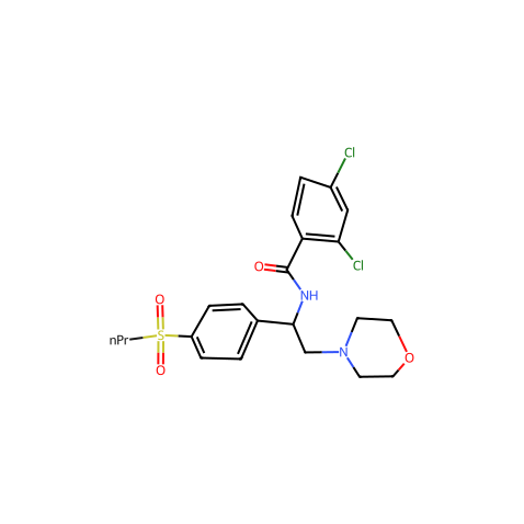 CCCS(=O)(=O)c1ccc(C(CN2CCOCC2)NC(=O)c2ccc(Cl)cc2Cl)cc1